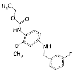 CCOC(=O)Nc1ccc(NCc2cccc(F)c2)cc1OC